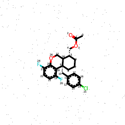 CC(=O)OC[C@@H]1CCC[C@@]2(Cc3ccc(Cl)cc3)c3c(F)ccc(F)c3OCC12